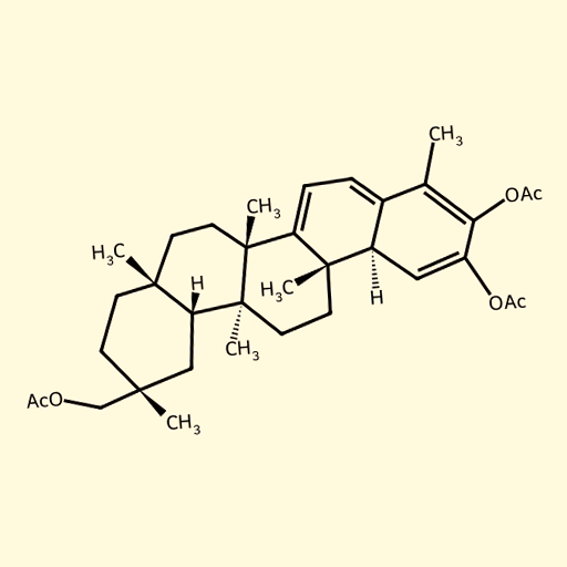 CC(=O)OC[C@]1(C)CC[C@]2(C)CC[C@]3(C)C4=CC=C5C(C)=C(OC(C)=O)C(OC(C)=O)=C[C@H]5[C@]4(C)CC[C@@]3(C)[C@@H]2C1